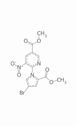 COC(=O)c1cnc(-n2cc(Br)cc2C(=O)OC)c([N+](=O)[O-])c1